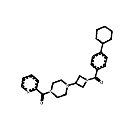 O=C(c1ccc(C2CCCCC2)cc1)N1CC(N2CCN(C(=O)c3ccccn3)CC2)C1